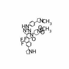 CN1CCC(c2ccc(Nc3ncc4cc(-c5ccc(C6CCCN6)cc5C(F)(F)F)c(=O)n(C5CCN(S(C)(=O)=O)CC5)c4n3)cc2)C1